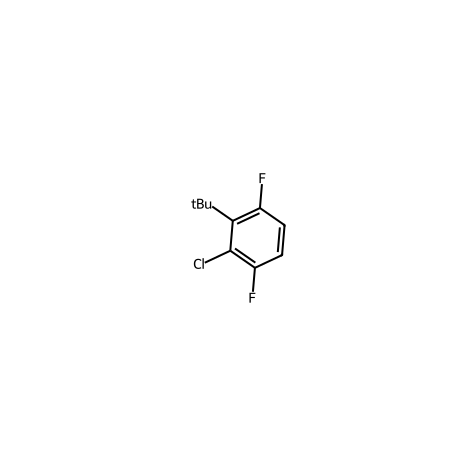 CC(C)(C)c1c(F)ccc(F)c1Cl